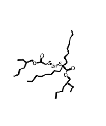 CCCCCCCCC(CCCCCCCC)([S][Sn][S]CC(=O)OCC(CC)CCCC)C(=O)OCC(CC)CCCC